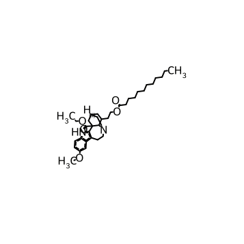 CCCCCCCCCCCC(=O)OCCC1C[C@@H]2CN3CCc4c([nH]c5ccc(OC)cc45)C(C(=O)OCC)(C2)C13